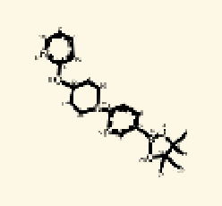 CC1(C)OB(c2ccc(N3CCC(Oc4ccccn4)CC3)nc2)OC1(C)C